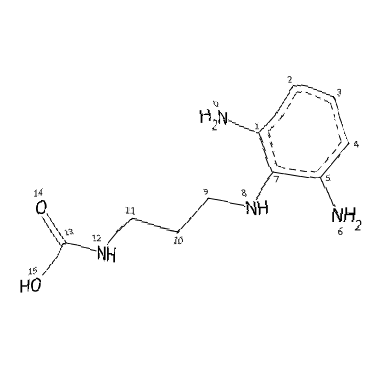 Nc1cccc(N)c1NCCCNC(=O)O